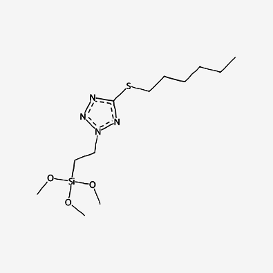 CCCCCCSc1nnn(CC[Si](OC)(OC)OC)n1